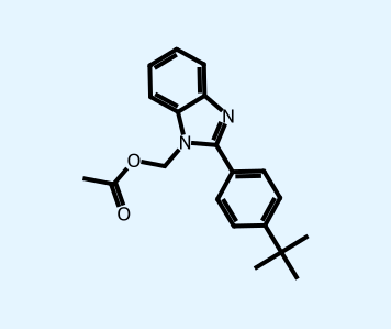 CC(=O)OCn1c(-c2ccc(C(C)(C)C)cc2)nc2ccccc21